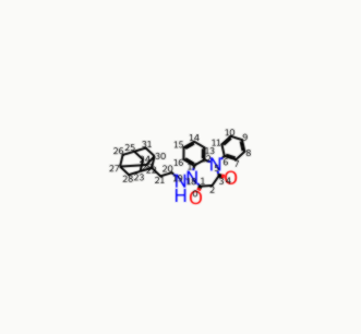 O=C1CC(=O)N(c2ccccc2)c2ccccc2N1NCCC1C2CC3CC(C2)CC1C3